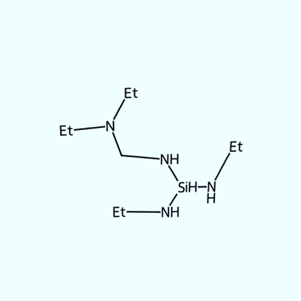 CCN[SiH](NCC)NCN(CC)CC